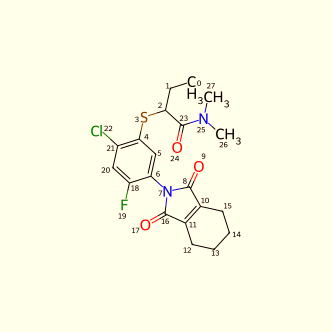 CCC(Sc1cc(N2C(=O)C3=C(CCCC3)C2=O)c(F)cc1Cl)C(=O)N(C)C